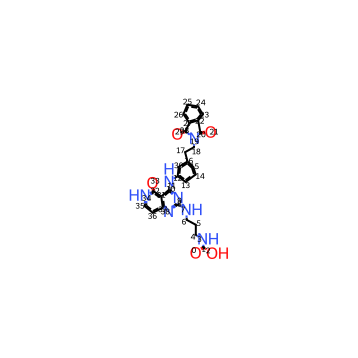 O=C(O)NCCCNc1nc(Nc2cccc(CCN3C(=O)c4ccccc4C3=O)c2)c2c(=O)[nH]ccc2n1